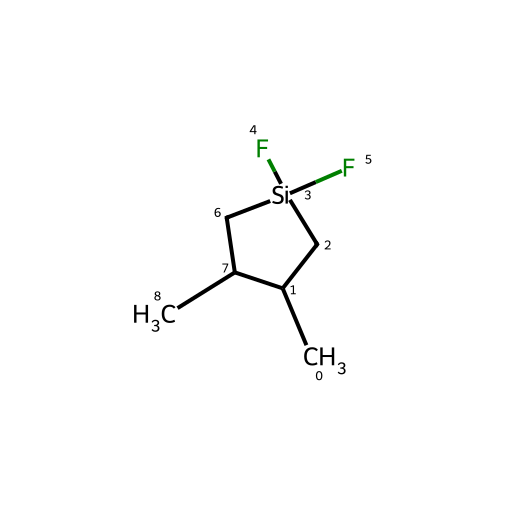 CC1C[Si](F)(F)CC1C